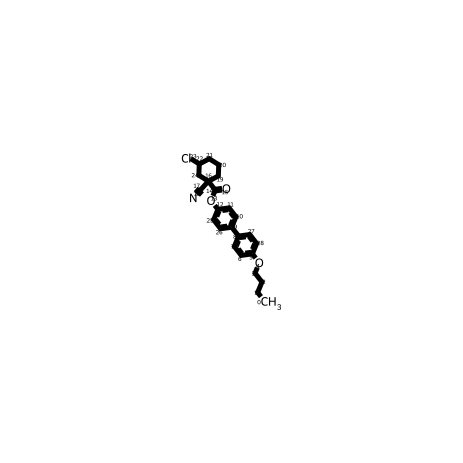 CCCCOc1ccc(-c2ccc(OC(=O)C3(C#N)CCCC(Cl)C3)cc2)cc1